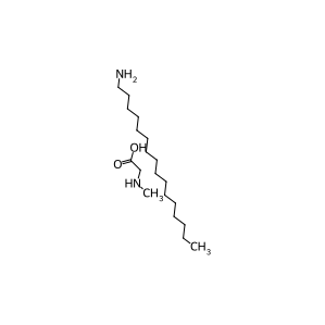 CCCCCCCCCCCCCCCCN.CNCC(=O)O